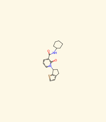 O=C(NC1CCCCC1)c1cccn(C2CCc3ccsc32)c1=O